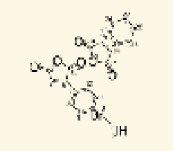 BrI.I.O=C1C=C(c2ccccc2)C(=O)O1.O=C1C=CC(=O)O1.c1ccccc1